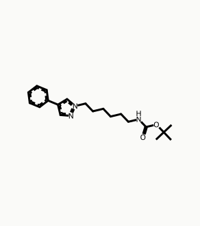 CC(C)(C)OC(=O)NCCCCCCn1cc(-c2ccccc2)cn1